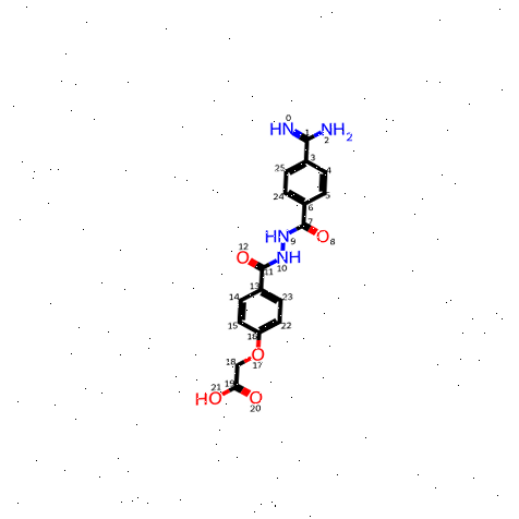 N=C(N)c1ccc(C(=O)NNC(=O)c2ccc(OCC(=O)O)cc2)cc1